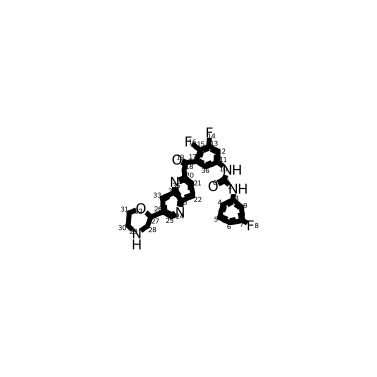 O=C(Nc1cccc(F)c1)Nc1cc(F)c(F)c(C(=O)c2ccc3ncc(C4CNCCO4)cc3n2)c1